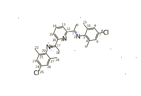 C/C(=N\c1c(C)cc(Cl)cc1C)c1cccc(/C(C)=N/c2c(C)cc(Cl)cc2C)n1